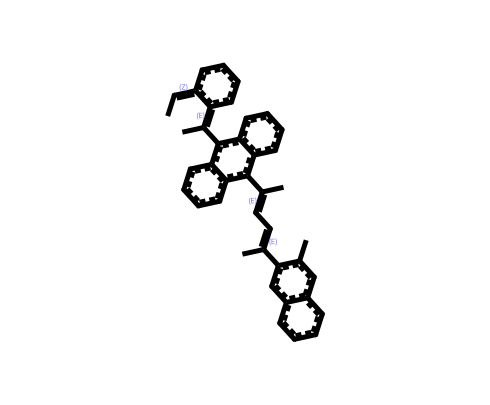 C/C=c1/cccc/c1=C(/C)c1c2ccccc2c(/C(C)=C/C=C(\C)c2cc3ccccc3cc2C)c2ccccc12